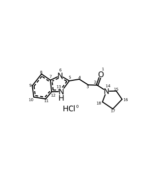 Cl.O=C(CCc1nc2ccccc2[nH]1)N1CCCC1